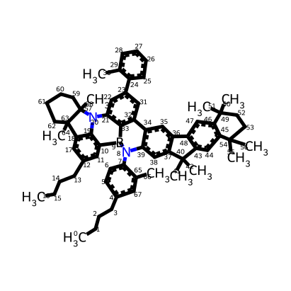 CCCCc1ccc(N2B3c4cc(CCCC)cc5c4N(c4cc(-c6ccccc6C)cc(c43)-c3cc4c(cc32)C(C)(C)c2cc3c(cc2-4)C(C)(C)CCC3(C)C)C2(C)CCCCC52C)c(C)c1